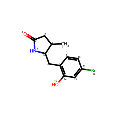 CC1CC(=O)NC1Cc1ccc(Br)cc1O